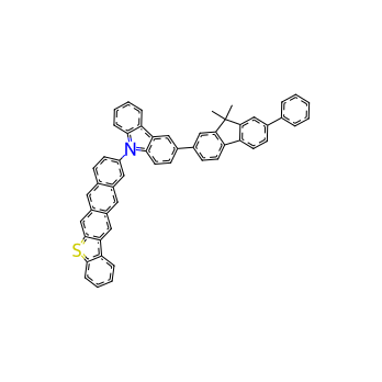 CC1(C)c2cc(-c3ccccc3)ccc2-c2ccc(-c3ccc4c(c3)c3ccccc3n4-c3ccc4cc5cc6sc7ccccc7c6cc5cc4c3)cc21